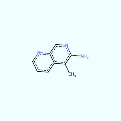 Cc1c(N)ncc2ncccc12